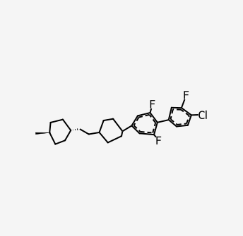 C[C@H]1CC[C@H](CCC2CCC(c3cc(F)c(-c4ccc(Cl)c(F)c4)c(F)c3)CC2)CC1